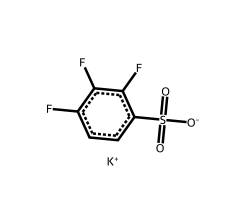 O=S(=O)([O-])c1ccc(F)c(F)c1F.[K+]